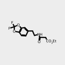 CCOC(=O)CC(=O)NCCc1ccc2c(c1)OC(F)(F)O2